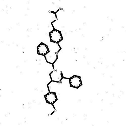 CCOc1ccc(CC(CNC(CNCc2ccc(COC(N)=O)cc2)Cc2ccccc2)NC(=O)c2ccccc2)cc1